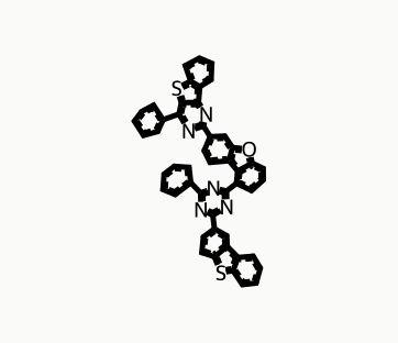 c1ccc(-c2nc(-c3ccc4sc5ccccc5c4c3)nc(-c3cccc4oc5cc(-c6nc(-c7ccccc7)c7sc8ccccc8c7n6)ccc5c34)n2)cc1